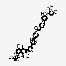 CCN(C)S(=O)(=O)Nc1ccc(F)c(C(=O)c2c[nH]c3ncc(-c4cnc(N5CCN(C(=O)CC6CCN(c7ccc(NC8CCC(=O)NC8=O)cc7)CC6)CC5)nc4)cc23)c1F